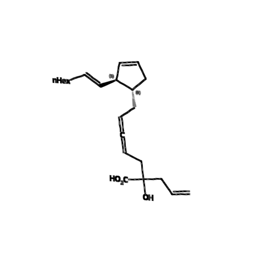 C=CCC(O)(CC=C=CC[C@H]1CC=C[C@@H]1C=CCCCCCC)C(=O)O